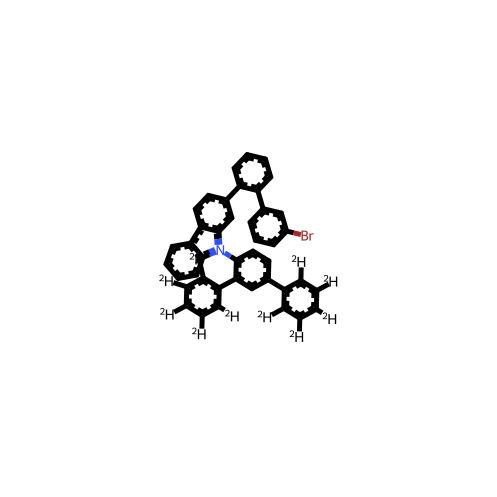 [2H]c1c([2H])c([2H])c(-c2ccc(-n3c4ccccc4c4ccc(-c5ccccc5-c5cccc(Br)c5)cc43)c(-c3c([2H])c([2H])c([2H])c([2H])c3[2H])c2)c([2H])c1[2H]